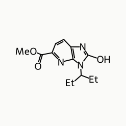 CCC(CC)n1c(O)nc2ccc(C(=O)OC)nc21